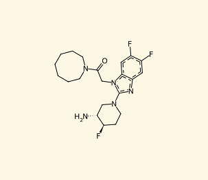 N[C@@H]1CN(c2nc3cc(F)c(F)cc3n2CC(=O)N2CCCCCCC2)CC[C@H]1F